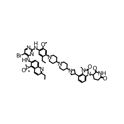 CCc1ccc2c(P(C)(C)=O)c(Nc3nc(Nc4cc(CC)c(N5CCC(N6CCC(N7CC(c8cccc9c8n(C)c(=O)n9C8CCC(=O)NC8=O)C7)CC6)CC5)cc4OC)ncc3Br)ccc2n1